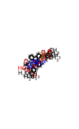 COc1ccc(CN(Cc2ccc(OC)cc2)S(=O)(=O)c2c(S(=O)(=O)CC[Si](C)(C)C)ccc(-c3cccc(NC(=O)C(CO)NC(=O)OC(C)(C)C)c3N)c2-c2nnn(Cc3ccc(OC)cc3)n2)cc1